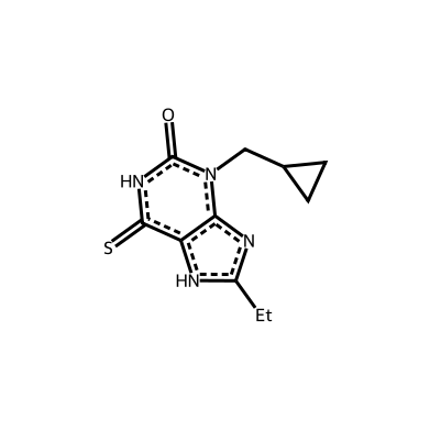 CCc1nc2c([nH]1)c(=S)[nH]c(=O)n2CC1CC1